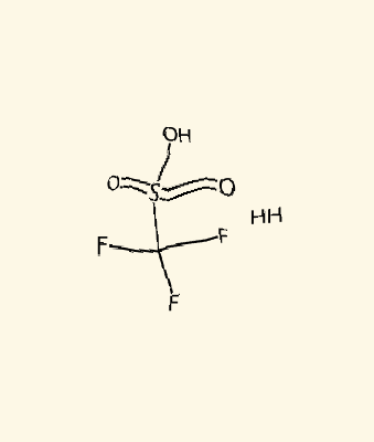 O=S(=O)(O)C(F)(F)F.[HH]